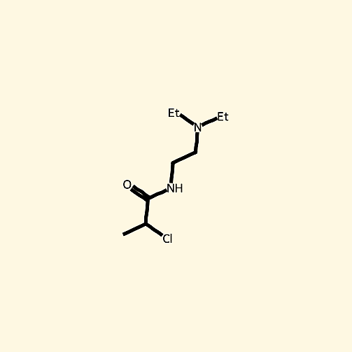 CCN(CC)CCNC(=O)C(C)Cl